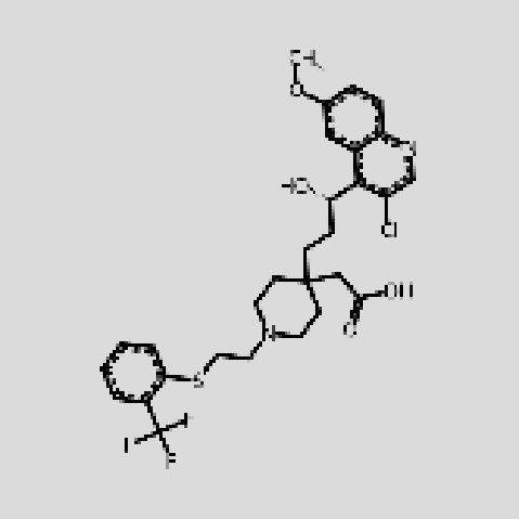 COc1ccc2ncc(Cl)c([C@@H](O)CCC3(CC(=O)O)CCN(CCSc4ccccc4C(F)(F)F)CC3)c2c1